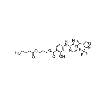 O=C(CCCO)OCCCOC(=O)c1ccc(Nc2nccn3c(-c4conc4C(F)(F)F)cnc23)cc1O